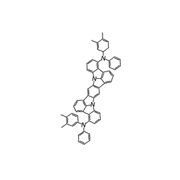 CC1=CCC(N(c2ccccc2)c2cccc3c2c2cccc4c5cc6c(cc5n3c42)c2cccc3c4c(N(c5ccccc5)c5ccc(C)c(C)c5)cccc4n6c23)C=C1C